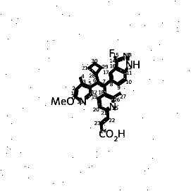 COc1cc(C)c(C(=C(c2ccc3[nH]nc(F)c3c2)c2ccc(C=CC(=O)O)nc2C)C2CCC2)cn1